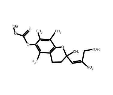 CCCCCCCCCCC/C(=C\C1(C)CCc2c(C)c(OC(=O)OC(C)(C)C)c(C)c(C)c2O1)[N+](=O)[O-]